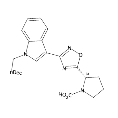 CCCCCCCCCCCn1cc(-c2noc([C@@H]3CCCN3C(=O)O)n2)c2ccccc21